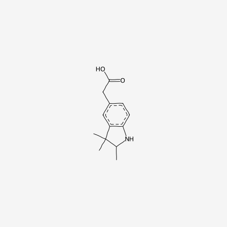 CC1Nc2ccc(CC(=O)O)cc2C1(C)C